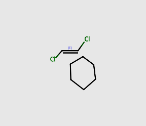 C1CCCCC1.Cl/C=C/Cl